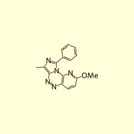 COc1ccc2nnc3c(C)nc(-c4ccccc4)n3c2n1